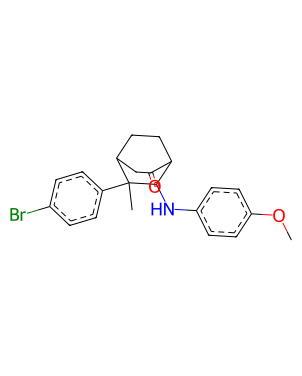 COc1ccc(NC2C3CCC(CC3=O)C2(C)c2ccc(Br)cc2)cc1